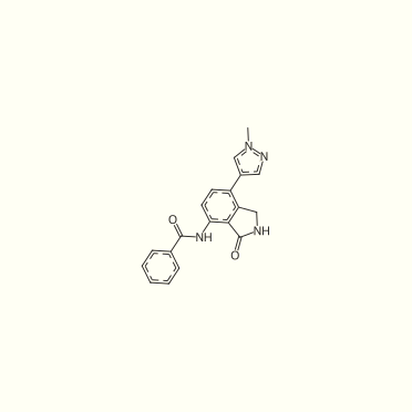 Cn1cc(-c2ccc(NC(=O)c3ccccc3)c3c2CNC3=O)cn1